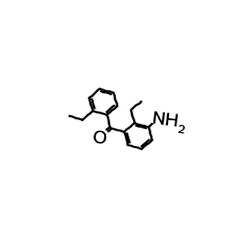 CCc1ccccc1C(=O)c1cccc(N)c1CC